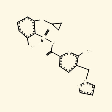 COc1cccc(OC2CC2)c1S(=O)(=O)NC(=O)c1ccc(Cn2cccn2)c(OC)n1